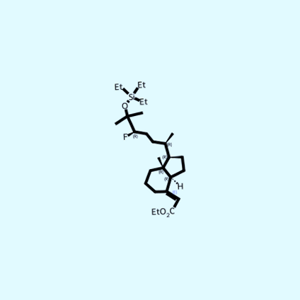 CCOC(=O)/C=C1\CCC[C@]2(C)[C@@H]([C@H](C)CC[C@@H](F)C(C)(C)O[Si](CC)(CC)CC)CC[C@@H]12